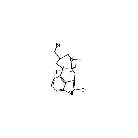 CN1CC(CBr)C[C@@H]2c3cccc4[nH]c(Br)c(c34)C[C@H]21